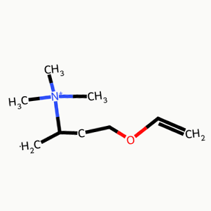 [CH2]C(CCOC=C)[N+](C)(C)C